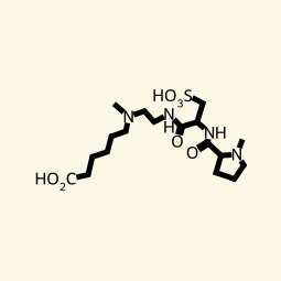 CN(CCCCCC(=O)O)CCNC(=O)C(CS(=O)(=O)O)NC(=O)C1CCCN1C